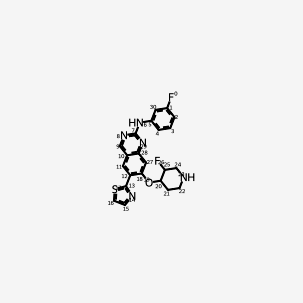 Fc1cccc(Nc2ncc3cc(-c4nccs4)c(OC4CCNCC4F)cc3n2)c1